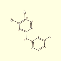 Cc1cccc(Sc2ccc(Cl)c(Cl)c2)c1